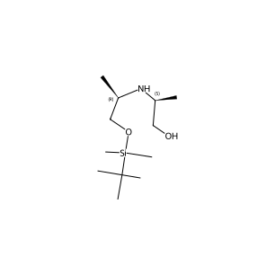 C[C@H](CO[Si](C)(C)C(C)(C)C)N[C@@H](C)CO